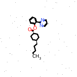 CCCCC[C@H]1CC[C@H](C(=O)Oc2ccccc2-c2nc[c]cn2)CC1